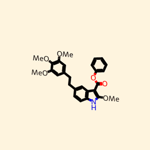 COc1cc(CCc2ccc3[nH]c(OC)c(C(=O)Oc4ccccc4)c3c2)cc(OC)c1OC